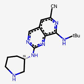 CC(C)(C)Nc1nc(C#N)cc2cnc(N[C@H]3CCCNC3)nc12